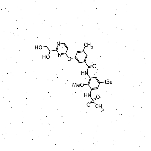 COc1c(NC(=O)c2cc(C)cc(Oc3ccnc(C(O)CO)n3)c2)cc(C(C)(C)C)cc1NS(C)(=O)=O